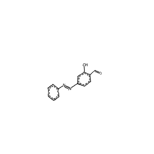 O=Cc1ccc(N=Nc2ccccc2)cc1O